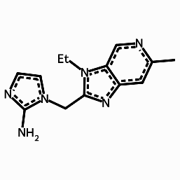 CCn1c(Cn2ccnc2N)nc2cc(C)ncc21